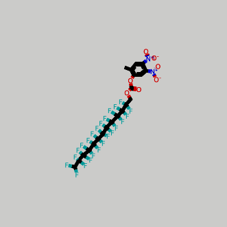 Cc1cc([N+](=O)[O-])c([N+](=O)[O-])cc1OC(=O)OCC(F)(F)C(F)(F)C(F)(F)C(F)(F)C(F)(F)C(F)(F)C(F)(F)C(F)(F)C(F)(F)C(F)(F)C(F)(F)C(F)F